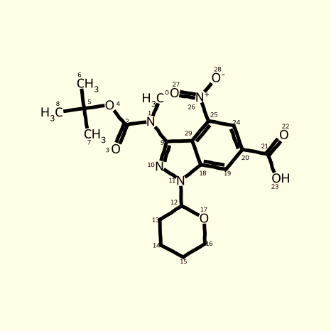 CN(C(=O)OC(C)(C)C)c1nn(C2CCCCO2)c2cc(C(=O)O)cc([N+](=O)[O-])c12